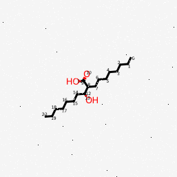 CCCCCCCCC(C(=O)O)C(O)CCCCCCC